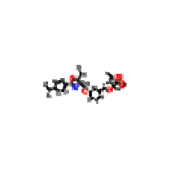 CCCC(C)(OCC1CCC[C@H](OCc2nc(-c3ccc(C(C)C)cc3)oc2CC)C1)C(=O)O